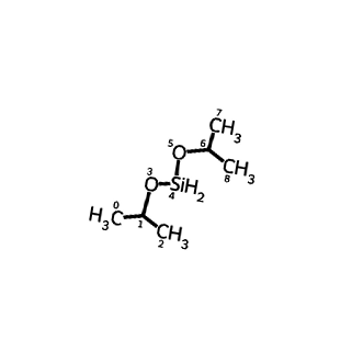 CC(C)O[SiH2]OC(C)C